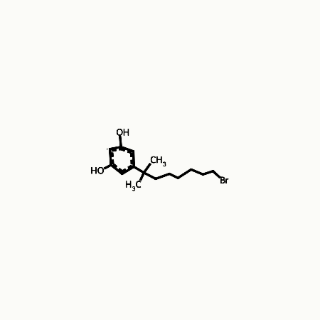 CC(C)(CCCCCCBr)c1cc(O)[c]c(O)c1